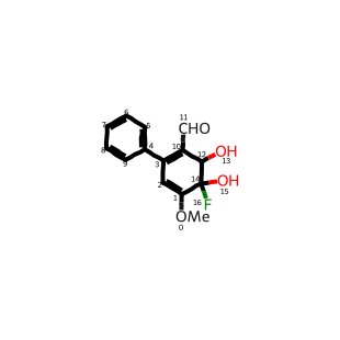 COC1=CC(c2ccccc2)=C(C=O)C(O)C1(O)F